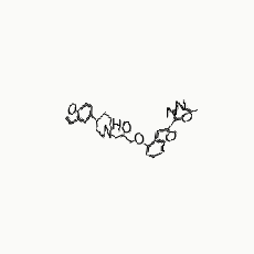 Cc1nnc(-c2cc3c(OC[C@@H](O)CN4CCC(c5ccc6occc6c5)CC4)cccc3o2)o1